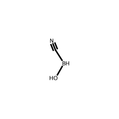 N#CBO